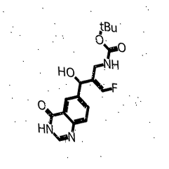 CC(C)(C)OC(=O)NCC(=CF)C(O)c1ccc2nc[nH]c(=O)c2c1